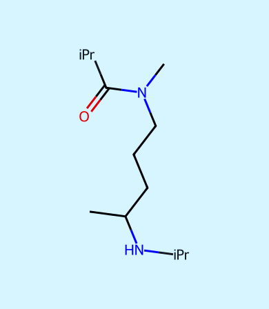 CC(C)NC(C)CCCN(C)C(=O)C(C)C